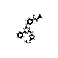 Cc1cnc(Nc2nc(Sc3ccc(NC(=O)C4CC4)cc3)nc(-c3ccccc3)n2)s1